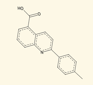 Cc1ccc(-c2ccc3c(C(=O)O)cccc3n2)cc1